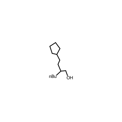 CCCCC(CO)CCC1CCCC1